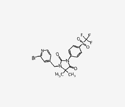 CC1(C)C(=O)N(c2ccc(S(=O)(=O)C(F)(F)F)cc2)C(=O)N1Cc1ccnc(Br)c1